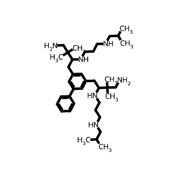 CC(C)CNCCCNC(Cc1cc(CC(NCCCNCC(C)C)C(C)(C)CN)cc(-c2ccccc2)c1)C(C)(C)CN